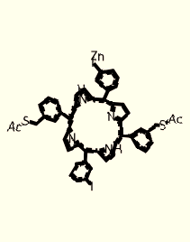 CC(=O)SCc1cccc(-c2c3nc(c(-c4cccc(I)c4)c4ccc([nH]4)c(-c4cccc(CSC(C)=O)c4)c4nc(c(-c5cccc(I)c5)c5ccc2[nH]5)C=C4)C=C3)c1.[Zn]